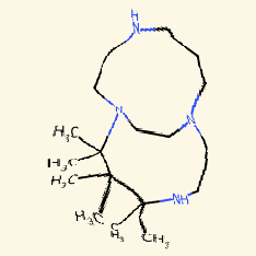 CC1(C)NCCN2CCCNCCN(CC2)C(C)(C)C1(C)C